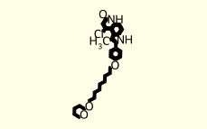 Cc1c(-c2ccc(OCCCCCCCCCOC3CCCCO3)cc2)[nH]c2ccc3[nH]c(=O)cc(Cl)c3c12